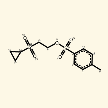 Cc1ccc(S(=O)(=O)OCCS(=O)(=O)C2CC2)cc1